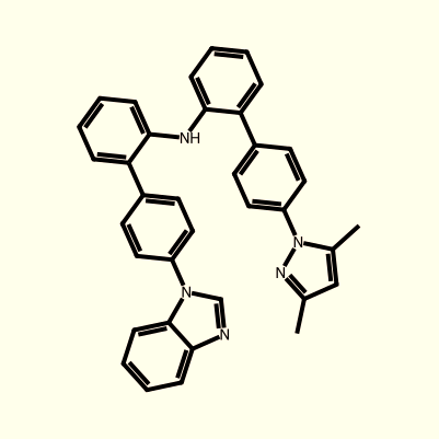 Cc1cc(C)n(-c2ccc(-c3ccccc3Nc3ccccc3-c3ccc(-n4cnc5ccccc54)cc3)cc2)n1